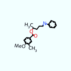 COc1ccc(C(=O)OC(C)CCC=Nc2ccccc2)cc1C